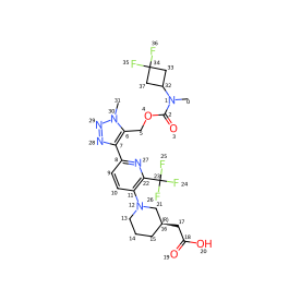 CN(C(=O)OCc1c(-c2ccc(N3CCC[C@H](CC(=O)O)C3)c(C(F)(F)F)n2)nnn1C)C1CC(F)(F)C1